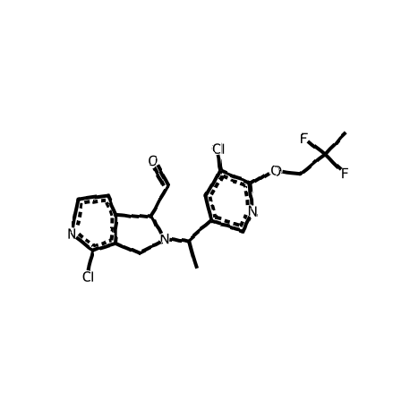 CC(c1cnc(OCC(C)(F)F)c(Cl)c1)N1Cc2c(ccnc2Cl)C1C=O